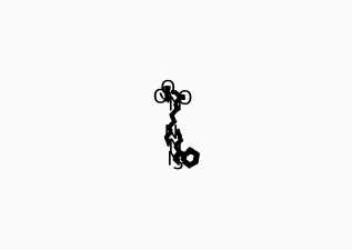 O=C1CS(=O)(=O)CN1CCCCN1CCN(c2nsc3ccccc23)CC1